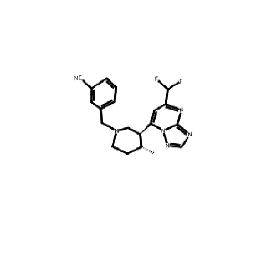 C[C@@H]1CCN(Cc2cccc(C#N)c2)C[C@H]1c1cc(C(F)F)nc2ncnn12